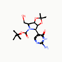 CC(C)(C)OC(=O)N1C(CO)C2OC(C)(C)OC2C1c1cnc(N)[nH]c1=O